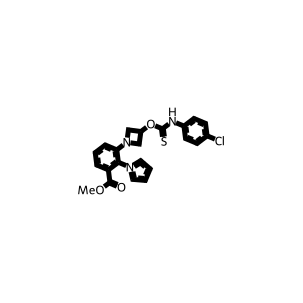 COC(=O)c1cccc(N2CC(OC(=S)Nc3ccc(Cl)cc3)C2)c1-n1cccc1